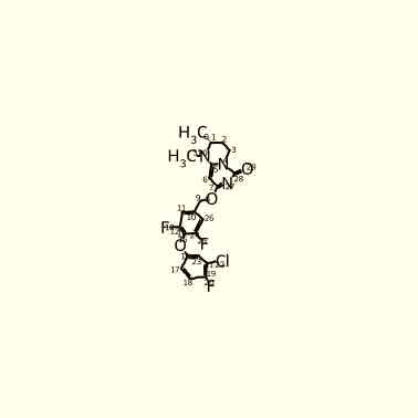 C[C@@H]1CCn2c(cc(OCc3cc(F)c(Oc4ccc(F)c(Cl)c4)c(F)c3)nc2=O)N1C